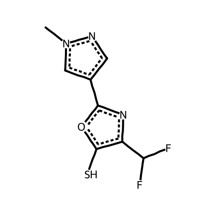 Cn1cc(-c2nc(C(F)F)c(S)o2)cn1